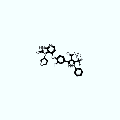 NC(=O)c1c(-c2ccc(Oc3ccnc4[nH]c(=O)n(C5CCOC5)c34)c(F)c2)nn(-c2ccccc2)c1C(F)(F)F